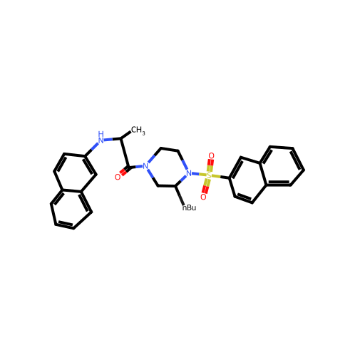 CCCCC1CN(C(=O)C(C)Nc2ccc3ccccc3c2)CCN1S(=O)(=O)c1ccc2ccccc2c1